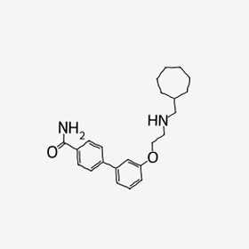 NC(=O)c1ccc(-c2cccc(OCCNCC3CCCCCC3)c2)cc1